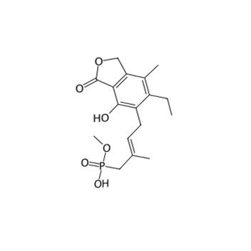 CCc1c(C)c2c(c(O)c1C/C=C(\C)CP(=O)(O)OC)C(=O)OC2